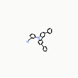 N#Cc1cccc(-n2c3ccc(-c4ccccc4)cc3c3cc(-c4ccccc4)ccc32)c1